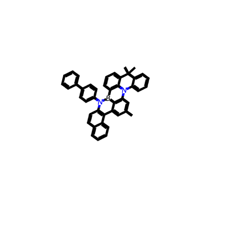 Cc1cc2c3c(c1)N1c4ccccc4C(C)(C)c4cccc(c41)B3N(c1ccc(-c3ccccc3)cc1)c1ccc3ccccc3c1-2